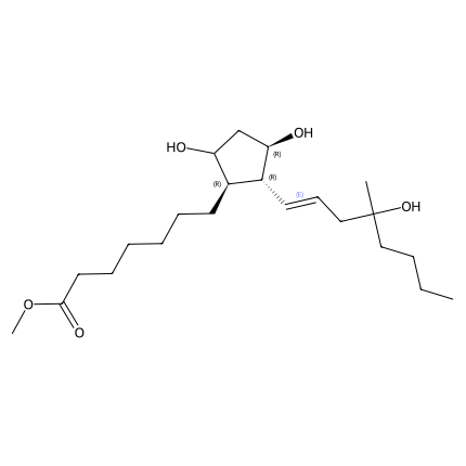 CCCCC(C)(O)C/C=C/[C@H]1[C@H](O)CC(O)[C@@H]1CCCCCCC(=O)OC